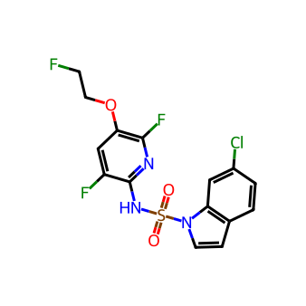 O=S(=O)(Nc1nc(F)c(OCCF)cc1F)n1ccc2ccc(Cl)cc21